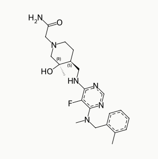 Cc1ccccc1CN(C)c1ncnc(NC[C@@H]2CCN(CC(N)=O)C[C@]2(C)O)c1F